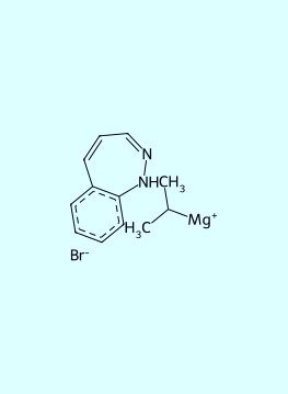 C1=Cc2ccccc2NN=C1.C[CH](C)[Mg+].[Br-]